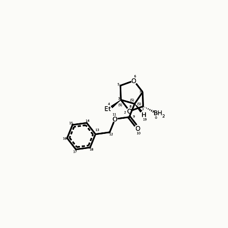 B[C@@H]1O[C@]2(CC)COC1[C@@H]2C(=O)OCc1ccccc1